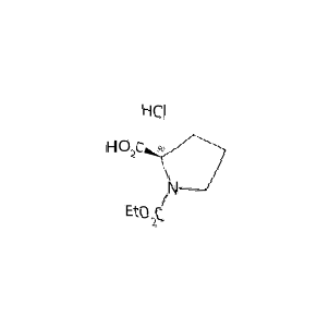 CCOC(=O)N1CCC[C@@H]1C(=O)O.Cl